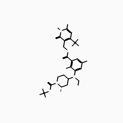 CCN(c1cc(F)cc(C(=O)NCc2c(C(F)(F)F)cc(C)n(C)c2=O)c1C)C1C[C@@H](C)N(C(=O)OC(C)(C)C)[C@H](C)C1